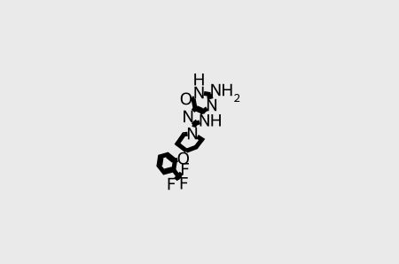 Nc1nc2[nH]c(N3CCC(Oc4ccccc4C(F)(F)F)CC3)nc2c(=O)[nH]1